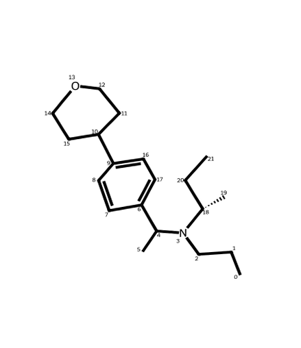 CCCN(C(C)c1ccc(C2CCOCC2)cc1)[C@@H](C)CC